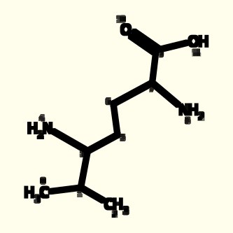 CC(C)C(N)CCC(N)C(=O)O